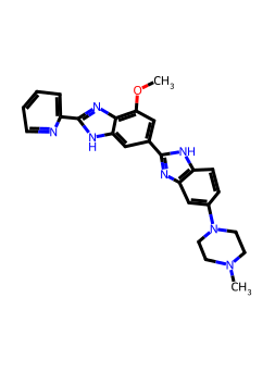 COc1cc(-c2nc3cc(N4CCN(C)CC4)ccc3[nH]2)cc2[nH]c(-c3ccccn3)nc12